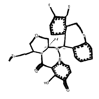 COCC1COC[C@@H]2N1C(=O)c1c(O)c(=O)ccn1N2[C@@H]1c2ccccc2SCc2c1ccc(F)c2F